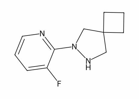 Fc1cccnc1N1CC2(CCC2)CN1